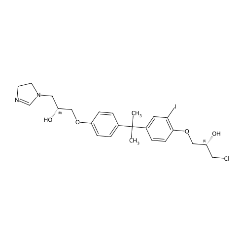 CC(C)(c1ccc(OC[C@H](O)CN2C=NCC2)cc1)c1ccc(OC[C@H](O)CCl)c(I)c1